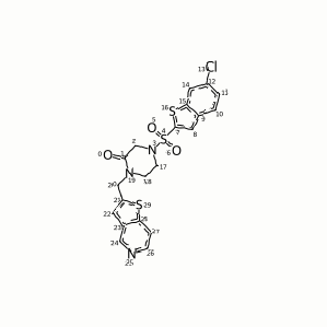 O=C1CN(S(=O)(=O)c2cc3ccc(Cl)cc3s2)CCN1Cc1cc2cnccc2s1